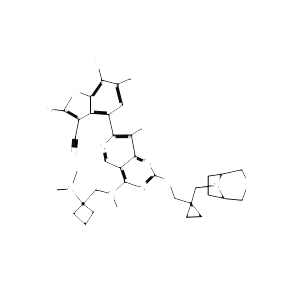 CN(CC1(N(C)C)CCC1)c1nc(OCC2(CN3C4CCC3CSC4)CC2)nc2c(F)c(-c3cc(F)c(F)c4sc(N)c(C#N)c34)ncc12